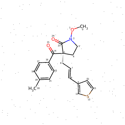 CON1CC[C@@](C/C=C/c2ccsc2)(C(=O)c2ccc(C)cc2)C1=O